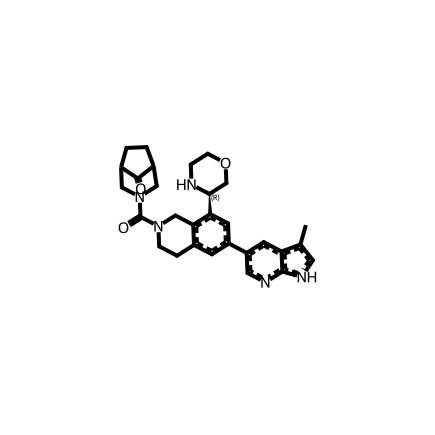 Cc1c[nH]c2ncc(-c3cc4c(c([C@@H]5COCCN5)c3)CN(C(=O)N3CC5CCC(C3)C5=O)CC4)cc12